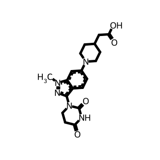 Cn1nc(N2CCC(=O)NC2=O)c2ccc(N3CCC(CC(=O)O)CC3)cc21